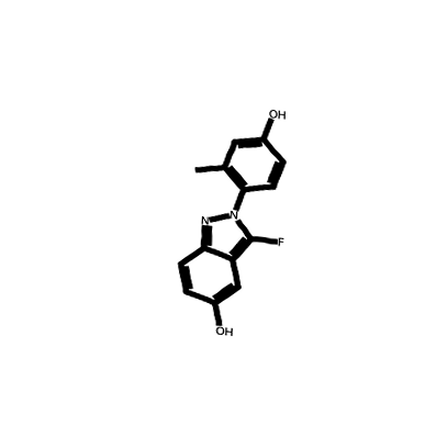 Cc1cc(O)ccc1-n1nc2ccc(O)cc2c1F